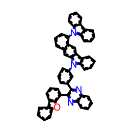 c1cc(-c2nc3ccccc3nc2-c2cccc3c2oc2ccccc23)cc(-n2c3ccccc3c3cc4c(-n5c6ccccc6c6ccccc65)cccc4cc32)c1